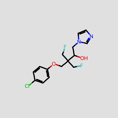 OC(Cn1ccnc1)C(CF)(CF)COc1ccc(Cl)cc1